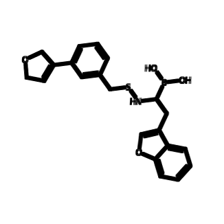 OB(O)C(Cc1coc2ccccc12)NSCc1cccc(C2=CCOC2)c1